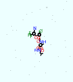 Cc1cc(S(=O)(=O)NC(=O)CC(C)C)ccc1NC(=O)COc1ccc(Cl)cc1C(=O)c1cc(C#N)cc(C(F)(F)F)c1